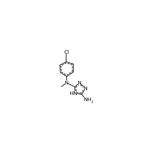 CN(c1ccc(Cl)cc1)c1nnc(N)[nH]1